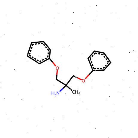 CC(N)(COc1ccccc1)COc1ccccc1